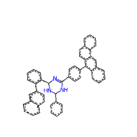 c1ccc(C2NC(c3ccc(-c4c5ccccc5cc5c4ccc4ccccc45)cc3)=NC(c3ccccc3-c3ccc4ccccc4c3)N2)cc1